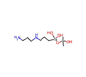 C[Si](C)(O)O[Si](O)(O)CCCNCCCN